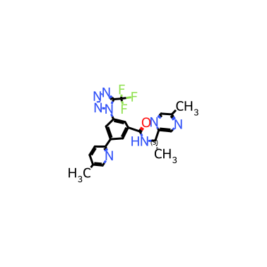 Cc1ccc(-c2cc(C(=O)N[C@@H](C)c3cnc(C)cn3)cc(-n3nnnc3C(F)(F)F)c2)nc1